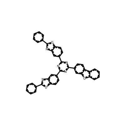 c1ccc(-c2nc3cc(-c4nc(-c5ccc6oc(-c7ccccc7)nc6c5)nc(-c5ccc6c(c5)oc5ccccc56)n4)ccc3o2)cc1